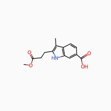 COC(=O)CCc1[nH]c2cc(C(=O)O)ccc2c1C